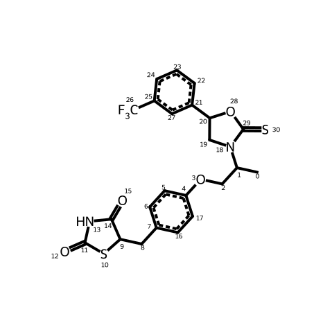 CC(COc1ccc(CC2SC(=O)NC2=O)cc1)N1CC(c2cccc(C(F)(F)F)c2)OC1=S